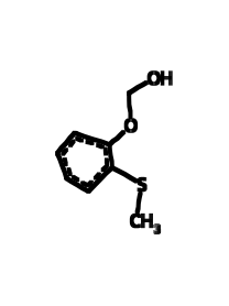 CSc1ccccc1OCO